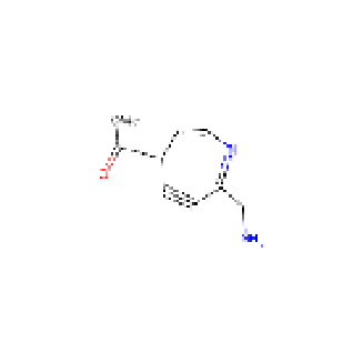 COC(=O)C1C#CC(CN)=NC=C1